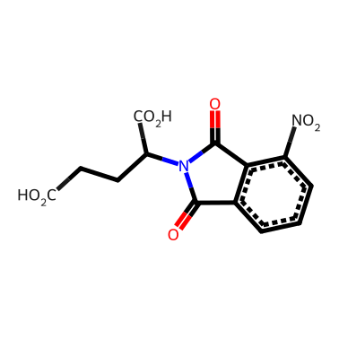 O=C(O)CCC(C(=O)O)N1C(=O)c2cccc([N+](=O)[O-])c2C1=O